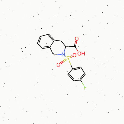 O=C(O)[C@@H]1Cc2ccccc2CN1S(=O)(=O)c1ccc(F)cc1